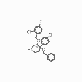 Fc1ccc(CO[C@H]2CNCC[C@]2(OCc2ccccc2)c2ccc(Cl)cc2)c(Cl)c1